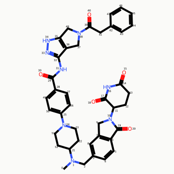 CN(Cc1ccc2c(c1)CN(C1CCC(=O)NC1=O)C2=O)C1CCN(c2ccc(C(=O)Nc3n[nH]c4c3CN(C(=O)Cc3ccccc3)C4)cc2)CC1